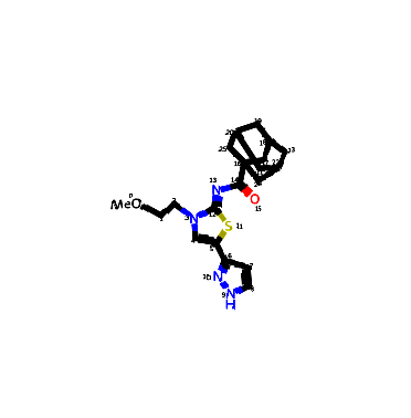 COCCn1cc(-c2cc[nH]n2)s/c1=N\C(=O)C12CC3CC(CC(C3)C1)C2